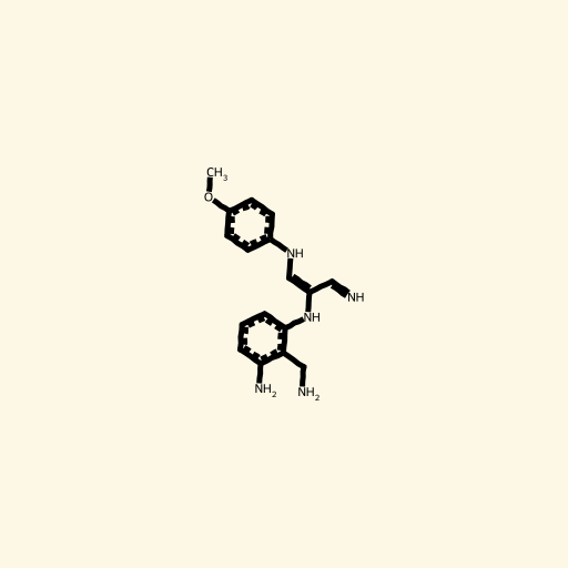 COc1ccc(N/C=C(\C=N)Nc2cccc(N)c2CN)cc1